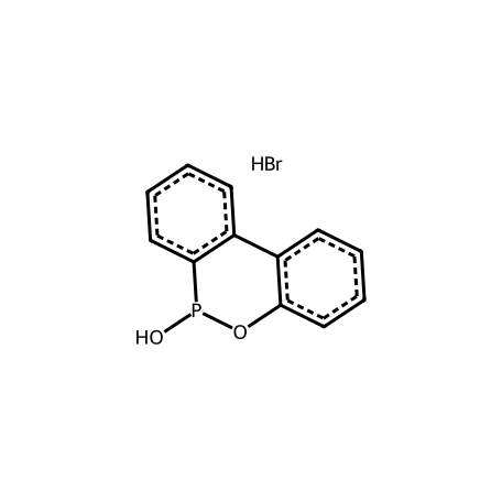 Br.OP1Oc2ccccc2-c2ccccc21